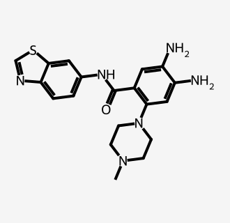 CN1CCN(c2cc(N)c(N)cc2C(=O)Nc2ccc3ncsc3c2)CC1